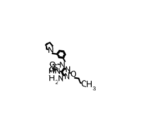 CCCCOc1nc(N)c2c(n1)N(Cc1cccc(CN3CCCC3)c1)CS(=O)(=O)N2